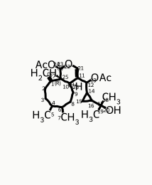 C=C1CCC(C)C(C)CC[C@@H]2C(C(OC(C)=O)C3CC3C(C)(C)O)=CO[C@H](OC(C)=O)[C@@H]12